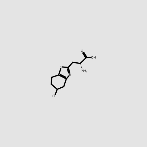 N[C@H](Cc1nc2c(s1)CCC(Cl)C2)C(=O)O